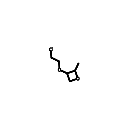 CC1OCC1OCCCl